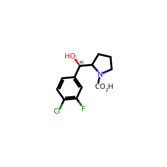 O=C(O)N1CCCC1[C@H](O)c1ccc(Cl)c(F)c1